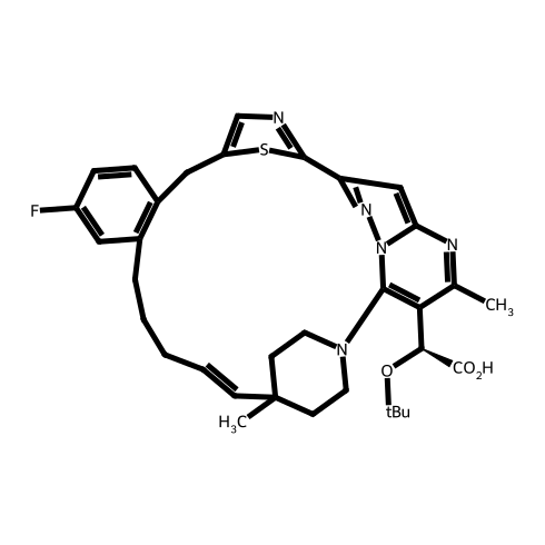 Cc1nc2cc3nn2c(c1[C@H](OC(C)(C)C)C(=O)O)N1CCC(C)(/C=C/CCCc2cc(F)ccc2Cc2cnc-3s2)CC1